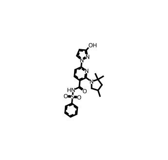 CC1CN(c2nc(-n3ccc(O)n3)ccc2C(=O)NS(=O)(=O)c2ccccc2)C(C)(C)C1